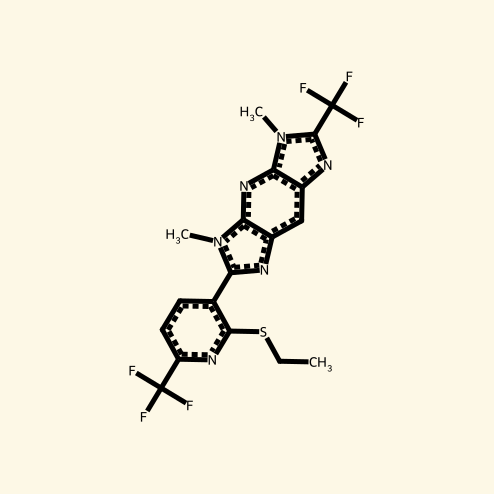 CCSc1nc(C(F)(F)F)ccc1-c1nc2cc3nc(C(F)(F)F)n(C)c3nc2n1C